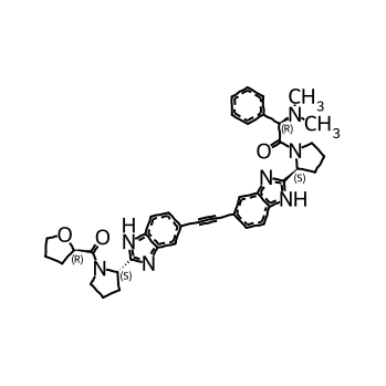 CN(C)[C@@H](C(=O)N1CCC[C@H]1c1nc2cc(C#Cc3ccc4[nH]c([C@@H]5CCCN5C(=O)[C@H]5CCCO5)nc4c3)ccc2[nH]1)c1ccccc1